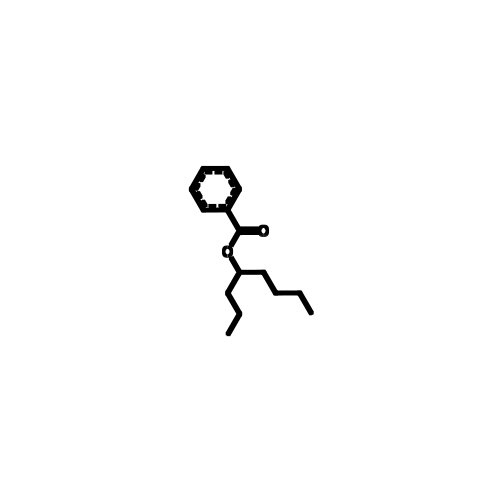 CCCCC(CCC)OC(=O)c1ccccc1